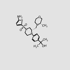 C[C@H]1COCCN1C[C@H]1CN(S(=O)(=O)c2ccc(N)s2)CCN1c1ccc(C(C)(C)O)cc1